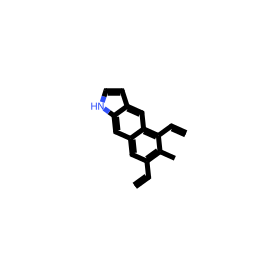 C=Cc1cc2cc3[nH]ccc3cc2c(C=C)c1C